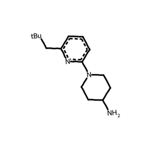 CC(C)(C)Cc1cccc(N2CCC(N)CC2)n1